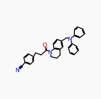 N#Cc1ccc(CCC(=O)N2CCCc3cc(CN(c4ccccc4)c4ccccc4)ccc32)cc1